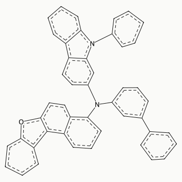 c1ccc(-c2cccc(N(c3ccc4c5ccccc5n(-c5ccccc5)c4c3)c3cccc4c3ccc3oc5ccccc5c34)c2)cc1